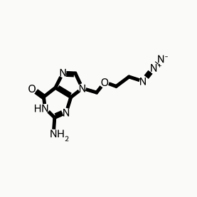 [N-]=[N+]=NCCOCn1cnc2c(=O)[nH]c(N)nc21